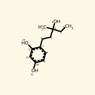 CCC(C)(O)CCc1ccc(O)cc1O